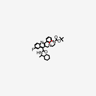 CC(NC(=O)c1c(CN2CCN(C(=O)OC(C)(C)C)CC2)c(-c2ccccc2)nc2ccc(F)cc12)C1CCCCC1